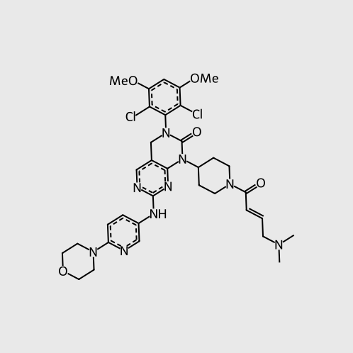 COc1cc(OC)c(Cl)c(N2Cc3cnc(Nc4ccc(N5CCOCC5)nc4)nc3N(C3CCN(C(=O)C=CCN(C)C)CC3)C2=O)c1Cl